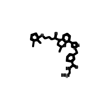 Cc1cccc(OCCCC(=O)N2CC(C)Oc3c(-c4cnn(Cc5cccc(C(=O)NCS(=O)(=O)O)c5)c4)cccc32)c1C